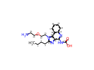 CCCCc1nc2c(NC(=O)O)nc3ccccc3c2n1CCOCCN